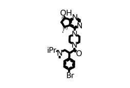 CC(C)N(C)CC(C(=O)N1CCN(c2ncnc3c2[C@H](C)C[C@H]3O)CC1)c1ccc(Br)cc1